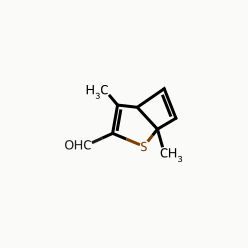 CC1=C(C=O)SC2(C)C=CC12